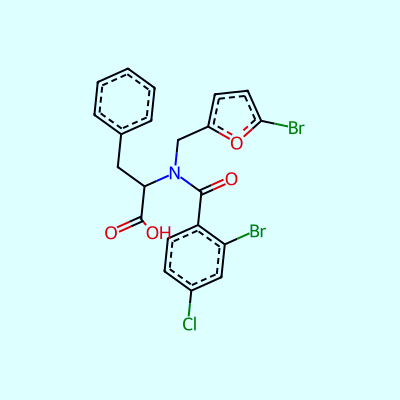 O=C(O)C(Cc1ccccc1)N(Cc1ccc(Br)o1)C(=O)c1ccc(Cl)cc1Br